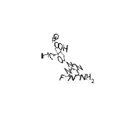 C#C[C@]1(COP=O)O[C@@H](n2cnc3c(N)nc(F)nc32)C[C@@H]1O